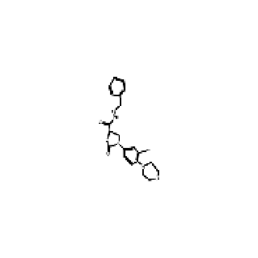 O=C(NOCc1ccccc1)[C@H]1CN(c2ccc(N3CCOCC3)c(F)c2)C(=O)O1